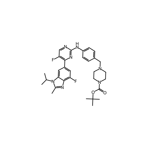 Cc1nc2c(F)cc(-c3nc(Nc4ccc(CN5CCN(C(=O)OC(C)(C)C)CC5)cc4)ncc3F)cc2n1C(C)C